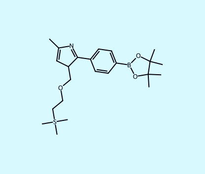 CC1=CC(COCCS(C)(C)C)C(c2ccc(B3OC(C)(C)C(C)(C)O3)cc2)=N1